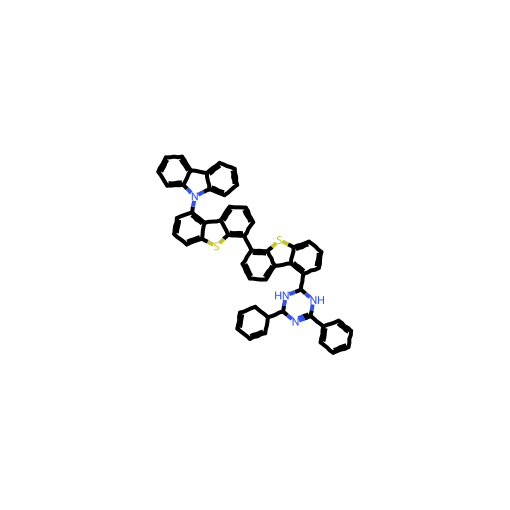 C1=CCC(C2N=C(c3ccccc3)NC(c3cccc4sc5c(-c6cccc7c6sc6cccc(-n8c9ccccc9c9ccccc98)c67)cccc5c34)N2)C=C1